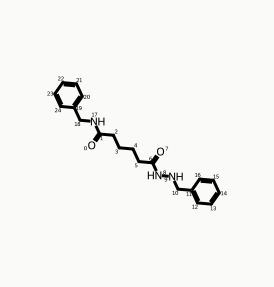 O=C(CCCCC(=O)NNCc1ccccc1)NCc1ccccc1